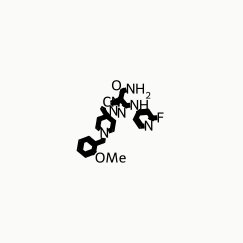 COc1ccccc1CN1CCC(CC#N)(n2cc(C(N)=O)c(Nc3ccnc(F)c3)n2)CC1